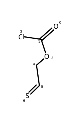 O=C(Cl)OCC=S